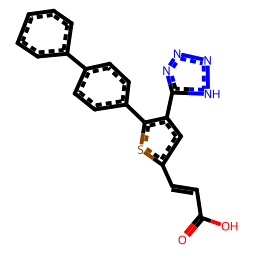 O=C(O)/C=C/c1cc(-c2nnn[nH]2)c(-c2ccc(-c3ccccc3)cc2)s1